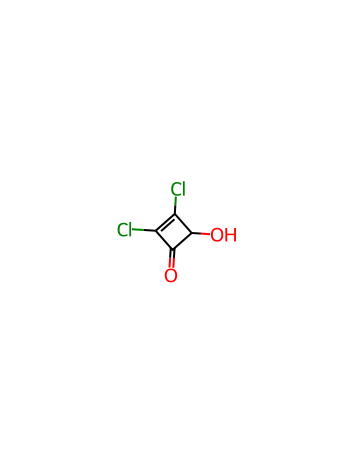 O=C1C(Cl)=C(Cl)C1O